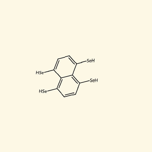 [SeH]c1ccc([SeH])c2c([SeH])ccc([SeH])c12